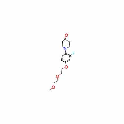 COCCOCCOc1ccc(N2CCC(=O)CC2)c(F)c1